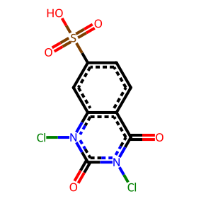 O=c1c2ccc(S(=O)(=O)O)cc2n(Cl)c(=O)n1Cl